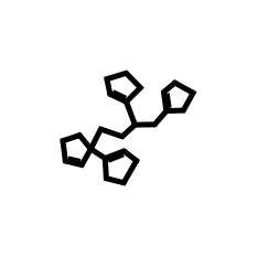 C1=CC(CCC(CC2=CCCC2)C2=CCCC2)(C2=CCCC2)CC1